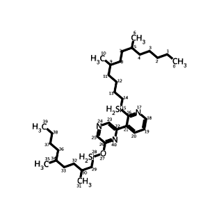 CCCCCC(C)CCC(C)CCCC[SiH2]c1ncccc1-c1cncc(O[SiH2]CC(C)CCC(C)CCCC)n1